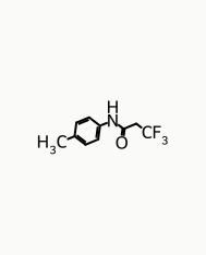 Cc1ccc(NC(=O)CC(F)(F)F)cc1